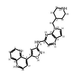 c1cnc2c(-c3cc(Nc4cnc5ccn(CC6CCNCC6)c5n4)no3)ccnc2c1